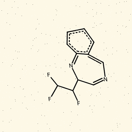 FC(F)C(F)C1C=NC=c2ccccc2=N1